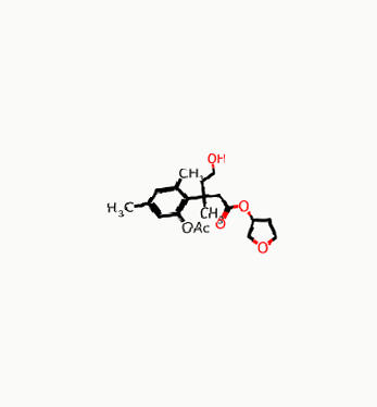 CC(=O)Oc1cc(C)cc(C)c1C(C)(CCO)CC(=O)OC1CCOC1